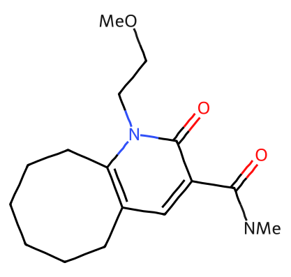 CNC(=O)c1cc2c(n(CCOC)c1=O)CCCCCC2